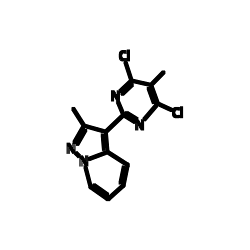 Cc1nn2ccccc2c1-c1nc(Cl)c(C)c(Cl)n1